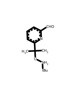 CC(C)(C)[SiH2]OC(C)(C)c1cccc(C=O)n1